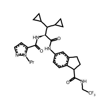 CC(C)n1nccc1C(=O)N[C@H](C(=O)Nc1ccc2c(c1)CCC2C(=O)NCC(F)(F)F)C(C1CC1)C1CC1